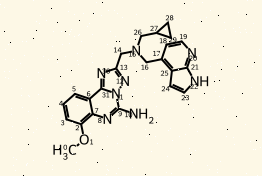 COc1cccc2c1nc(N)n1nc(CN(Cc3ccnc4[nH]ccc34)CC3CC3)nc21